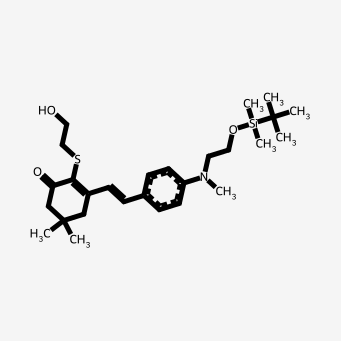 CN(CCO[Si](C)(C)C(C)(C)C)c1ccc(/C=C/C2=C(SCCO)C(=O)CC(C)(C)C2)cc1